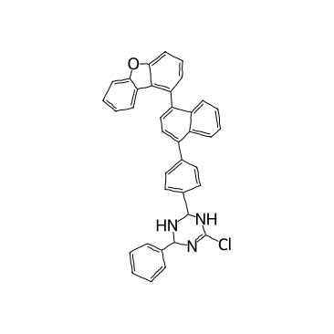 ClC1=NC(c2ccccc2)NC(c2ccc(-c3ccc(-c4cccc5oc6ccccc6c45)c4ccccc34)cc2)N1